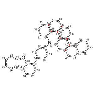 c1ccc(-c2ccccc2N(c2ccc(-c3cccc4c3oc3ccccc34)cc2)c2ccccc2-c2cccc(-c3cccc4ccccc34)c2)cc1